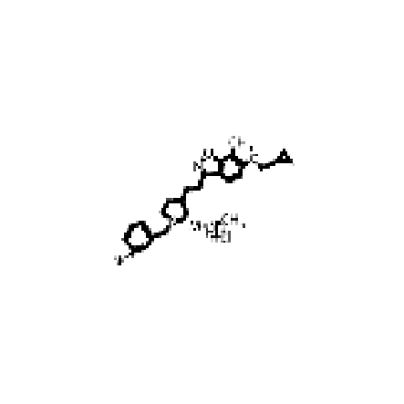 CNC.Cc1c(OCC2CC2)ccc2c(CCC3CCN(Cc4cccc(C#N)c4)CC3)noc12.Cl.Cl